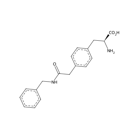 N[C@@H](Cc1ccc(CC(=O)NCc2ccccc2)cc1)C(=O)O